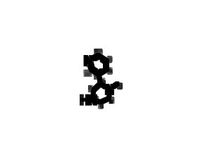 CN1CCNCC1c1cccnc1